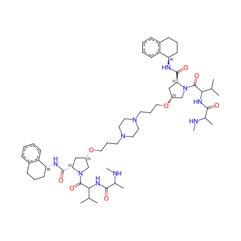 CNC(C)C(=O)NC(C(=O)N1C[C@@H](OCCCN2CCN(CCCO[C@H]3C[C@@H](C(=O)N[C@@H]4CCCc5ccccc54)N(C(=O)C(NC(=O)C(C)NC)C(C)C)C3)CC2)C[C@H]1C(=O)N[C@@H]1CCCc2ccccc21)C(C)C